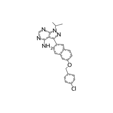 CC(C)n1nc(-c2ccc3cc(OCc4ccc(Cl)cc4)ccc3c2)c2c(N)ncnc21